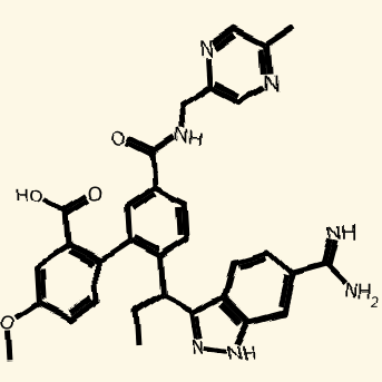 CCC(c1ccc(C(=O)NCc2cnc(C)cn2)cc1-c1ccc(OC)cc1C(=O)O)c1n[nH]c2cc(C(=N)N)ccc12